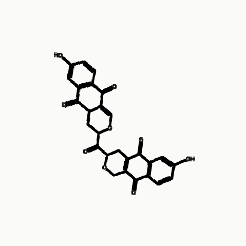 O=C1C2=C(CC(C(=O)C3CC4C(=O)c5cc(O)ccc5C(=O)C4=CO3)OC2)C(=O)c2cc(O)ccc21